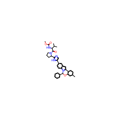 COC(=O)NC(C(=O)N1CCCC1c1ncc(-c2ccc3c(c2)cc2n3C(c3ccccc3)Oc3cc(C)ccc3-2)[nH]1)C(C)C